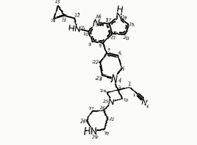 N#CCC1(N2CC=C(c3cc(NCC4CC4)nc4[nH]ccc34)CC2)CN(C2CCNCC2)C1